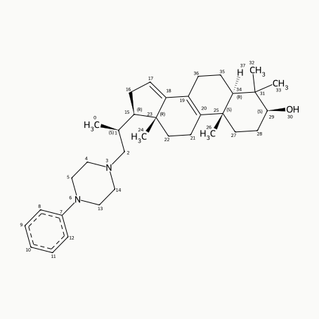 C[C@H](CN1CCN(c2ccccc2)CC1)[C@H]1CC=C2C3=C(CC[C@@]21C)[C@@]1(C)CC[C@H](O)C(C)(C)[C@@H]1CC3